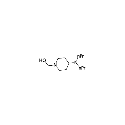 CCCN(CCC)C1CCN(CO)CC1